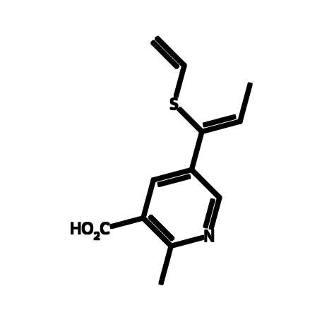 C=CS/C(=C\C)c1cnc(C)c(C(=O)O)c1